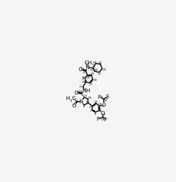 CC(=O)N1CC(c2ccc(OC(F)F)c(OC(F)F)c2)C[C@@H]1C(=O)NCc1cccc(C(=O)N(C)C2CCCCC2)n1